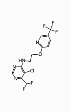 FC(F)c1ncnc(NCCOc2ccc(C(F)(F)F)cn2)c1Cl